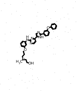 CN(CCO)CCCOc1cccc(Nc2nccc(-c3cnc(-c4cccc(Oc5ccccc5)c4)[nH]3)n2)c1